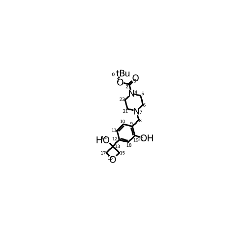 CC(C)(C)OC(=O)N1CCN(Cc2ccc(C3(O)COC3)cc2O)CC1